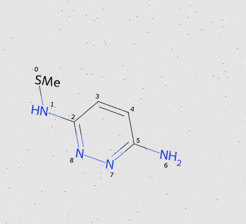 CSNc1ccc(N)nn1